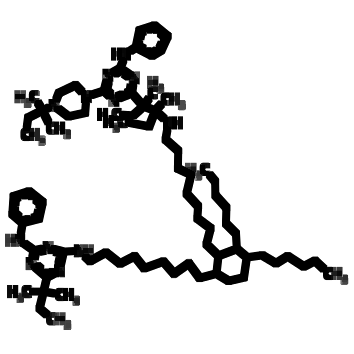 CCCCCCC1CCC(CCCCCCCCCNc2nc(Nc3ccccc3)nc(C(C)(C)CC)n2)C(CCCCCCCCCNC(C)(CC)C(C)(CC)c2nc(Nc3ccccc3)nc(N3CCN(C(C)(C)CC)CC3)n2)C1CCCCCC